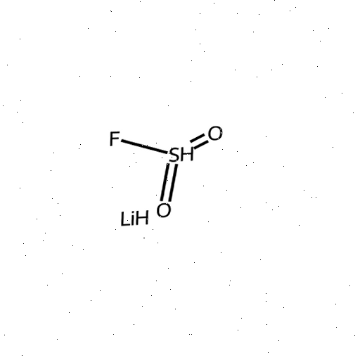 O=[SH](=O)F.[LiH]